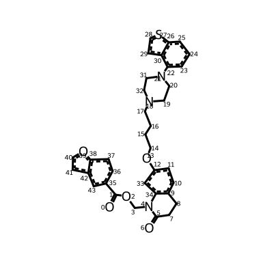 O=C(OCN1C(=O)CCc2ccc(OCCCCN3CCN(c4cccc5sccc45)CC3)cc21)c1ccc2occc2c1